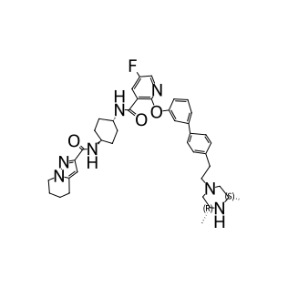 C[C@@H]1CN(CCc2ccc(-c3cccc(Oc4ncc(F)cc4C(=O)N[C@H]4CC[C@H](NC(=O)c5cc6n(n5)CCCC6)CC4)c3)cc2)C[C@H](C)N1